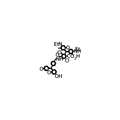 CC/N=c1/cc2oc3cc(NCC)c(C)cc3c(-c3c(Cl)c(C(=O)NCc4ccc(-c5c6ccc(=O)cc-6oc6cc(O)ccc56)cc4)cc(Cl)c3C(=O)O)c-2cc1C